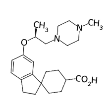 C[C@@H](CN1CCN(C)CC1)Oc1ccc2c(c1)C1(CC2)CCC(C(=O)O)CC1